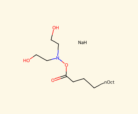 CCCCCCCCCCCC(=O)ON(CCO)CCO.[NaH]